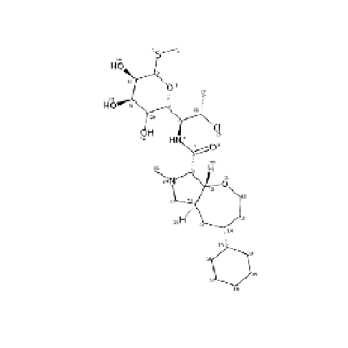 CSC1O[C@H]([C@H](NC(=O)[C@@H]2[C@@H]3OCC[C@H](C4CCCCC4)C[C@H]3CN2C)[C@H](C)Cl)C(O)[C@@H](O)[C@H]1O